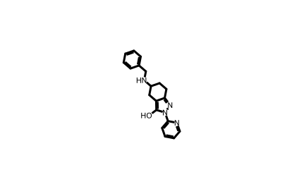 Oc1c2c(nn1-c1ccccn1)CCC(NCc1ccccc1)C2